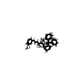 COc1cccc(CCCC(O)c2ncn(C(c3ccccc3)(c3ccccc3)c3ccccc3)c2C)c1